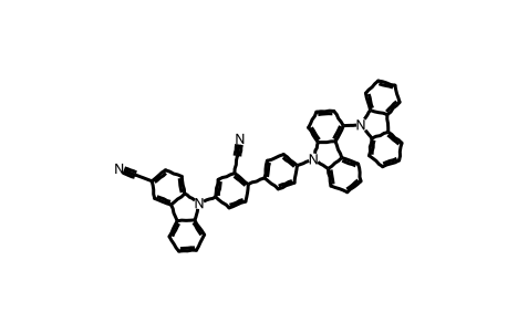 N#Cc1ccc2c(c1)c1ccccc1n2-c1ccc(-c2ccc(-n3c4ccccc4c4c(-n5c6ccccc6c6ccccc65)cccc43)cc2)c(C#N)c1